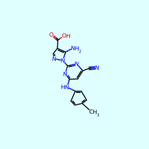 Cc1ccc(Nc2cc(C#N)nc(-n3ncc(C(=O)O)c3N)n2)cc1